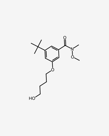 CON(C)C(=O)c1cc(OCCCCO)cc(C(C)(C)C)c1